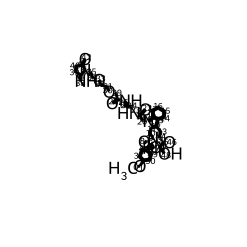 COc1ccc(S(=O)(=O)N2Cc3c(c4ccccc4n3CC(=O)NCCNC(=O)COCCOCCN3C(=N)C=CC3=O)C[C@H]2C(=O)NO)cc1